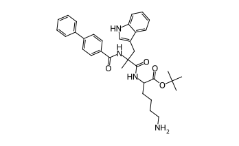 CC(C)(C)OC(=O)C(CCCCN)NC(=O)C(C)(Cc1c[nH]c2ccccc12)NC(=O)c1ccc(-c2ccccc2)cc1